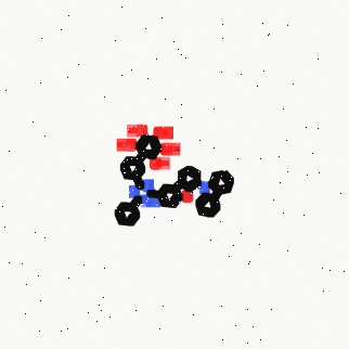 Oc1c(O)c(O)c(-c2cccc(C3=NC(c4ccccc4)NC(c4ccc5oc6c(-n7c8ccccc8c8ccccc87)cccc6c5c4)=N3)c2)c(O)c1O